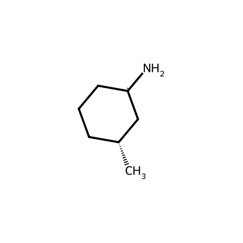 C[C@@H]1CCC[C](N)C1